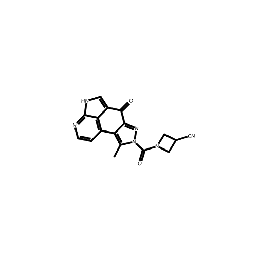 Cc1c2c(nn1C(=O)N1CC(C#N)C1)C(=O)c1c[nH]c3nccc-2c13